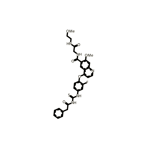 COCCNC(=O)CNC(=O)c1cc2c(Oc3ccc(NC(=S)NC(=O)Cc4ccccc4)cc3F)ccnc2cc1OC